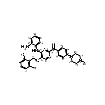 Cc1cccc(Cl)c1COc1cnc(Nc2ccc(N3CCN(C)CC3)cc2)nc1Nc1ccccc1N